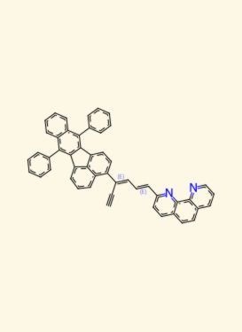 C#C/C(=C\C=C\c1ccc2ccc3cccnc3c2n1)c1ccc2c3c(cccc13)-c1c-2c(-c2ccccc2)c2ccccc2c1-c1ccccc1